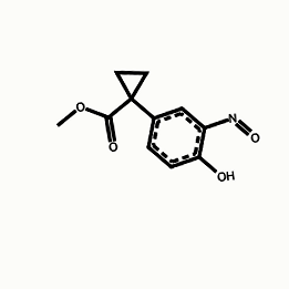 COC(=O)C1(c2ccc(O)c(N=O)c2)CC1